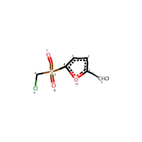 O=Cc1ccc(S(=O)(=O)CCl)o1